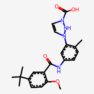 COc1ccc(C(C)(C)C)cc1C(=O)Nc1ccc(C)c(N2C=CN(C(=O)O)N2)c1